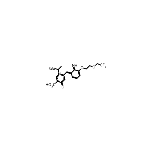 CC(n1cc(C(=O)O)c(=O)cc1/C=C1\C=CC=C(OCCOCC(F)(F)F)C1=N)C(C)(C)C